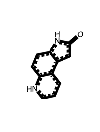 O=c1cc2c(ccc3[nH]cccc32)[nH]1